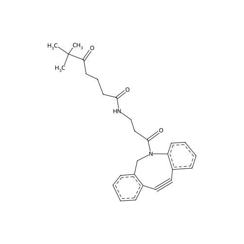 CC(C)(C)C(=O)CCCC(=O)NCCC(=O)N1Cc2ccccc2C#Cc2ccccc21